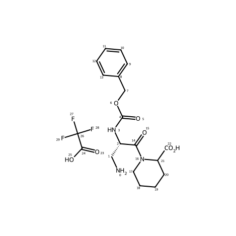 NC[C@H](NC(=O)OCc1ccccc1)C(=O)N1CCCCC1C(=O)O.O=C(O)C(F)(F)F